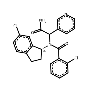 NC(=O)C(c1cccnc1)N(C(=O)c1ccccc1Cl)[C@@H]1CCc2ccc(Cl)cc21